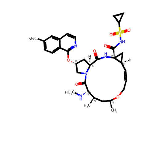 COc1ccc2c(O[C@@H]3C[C@H]4C(=O)N[C@]5(C(=O)NS(=O)(=O)C6CC6)C[C@H]5C=CCO[C@@H](C)C[C@@H](C)[C@H](NC(=O)O)C(=O)N4C3)nccc2c1